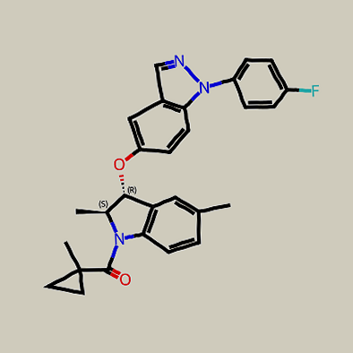 Cc1ccc2c(c1)[C@@H](Oc1ccc3c(cnn3-c3ccc(F)cc3)c1)[C@H](C)N2C(=O)C1(C)CC1